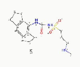 CNCCCS(=O)(=O)NC(=O)Nc1c2c(cc3c1CCC3)CCC2.[K]